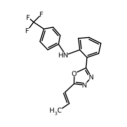 C/C=C/c1nnc(-c2ccccc2Nc2ccc(C(F)(F)F)cc2)o1